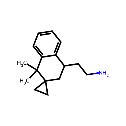 CC1(C)c2ccccc2C(CCN)CC12CC2